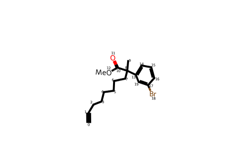 C#CCCCCCCC(C)(C(=O)OC)c1cccc(Br)c1